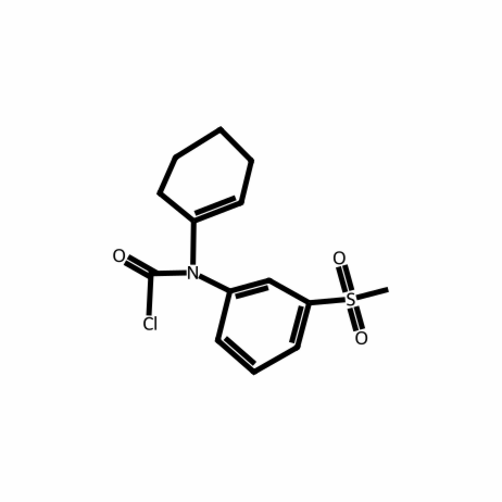 CS(=O)(=O)c1cccc(N(C(=O)Cl)C2=CCCCC2)c1